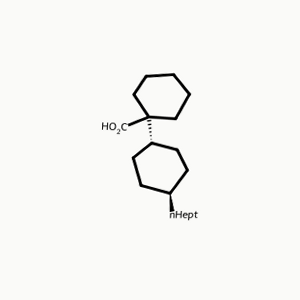 CCCCCCC[C@H]1CC[C@H](C2(C(=O)O)CCCCC2)CC1